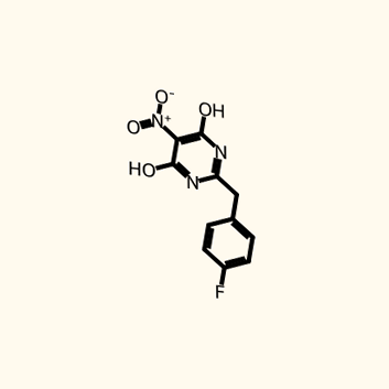 O=[N+]([O-])c1c(O)nc(Cc2ccc(F)cc2)nc1O